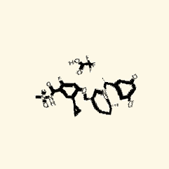 C[C@@H]1CC[C@@H](COc2cc(F)c(C(=O)NS(C)(=O)=O)cc2C2CC2)CN1[C@H](C)c1cc(Cl)cc(Cl)c1.O=C(O)C(F)(F)F